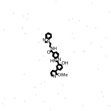 COc1ncccc1-c1ccc(O)c(-c2nc3ccc(C(=O)NCCn4cnc5ccccc54)cc3[nH]2)c1